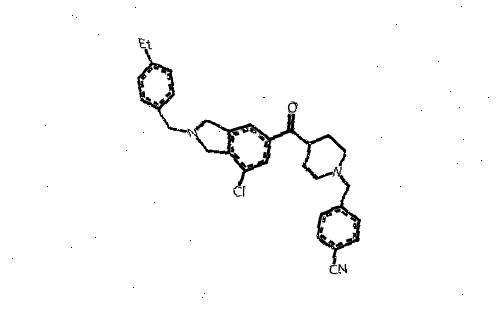 CCc1ccc(CN2Cc3cc(C(=O)C4CCN(Cc5ccc(C#N)cc5)CC4)cc(Cl)c3C2)cc1